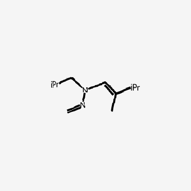 C=NN(/C=C(\C)C(C)C)CC(C)C